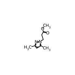 COC(=O)CCn1nc(C)cc1C